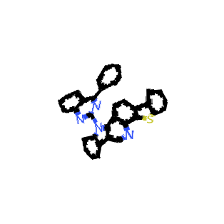 c1ccc(-c2nc(-n3c4ccccc4c4cnc5c(ccc6c7ccccc7sc65)c43)nc3ccccc23)cc1